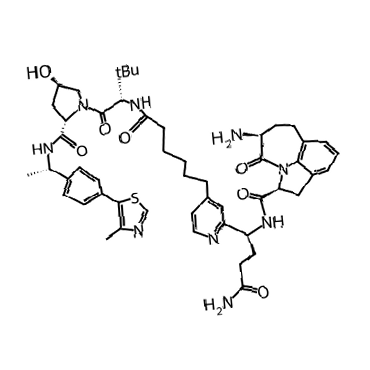 Cc1ncsc1-c1ccc([C@H](C)NC(=O)[C@@H]2C[C@@H](O)CN2C(=O)[C@@H](NC(=O)CCCCCc2ccnc([C@H](CCC(N)=O)NC(=O)[C@@H]3Cc4cccc5c4N3C(=O)[C@@H](N)CC5)c2)C(C)(C)C)cc1